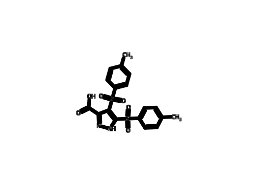 Cc1ccc(S(=O)(=O)c2[nH]nc(C(=O)O)c2S(=O)(=O)c2ccc(C)cc2)cc1